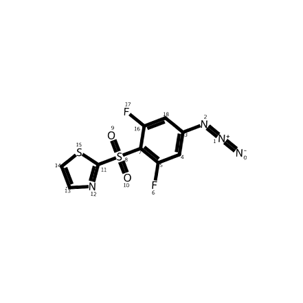 [N-]=[N+]=Nc1cc(F)c(S(=O)(=O)c2n[c]cs2)c(F)c1